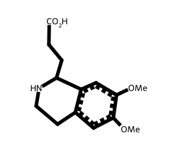 COc1cc2c(cc1OC)C(CCC(=O)O)NCC2